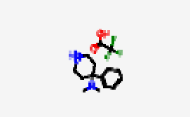 CN(C)C1(c2ccccc2)CCNCC1.O=C(O)C(F)(F)F